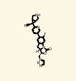 N#CC1(c2ccc(-c3cc4c(cc3F)N3C(=O)O[C@@H](Cn5ccnn5)[C@@H]3C4)cn2)C2CNCC21